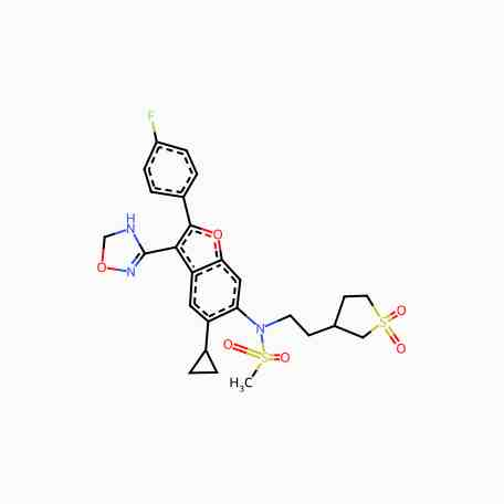 CS(=O)(=O)N(CCC1CCS(=O)(=O)C1)c1cc2oc(-c3ccc(F)cc3)c(C3=NOCN3)c2cc1C1CC1